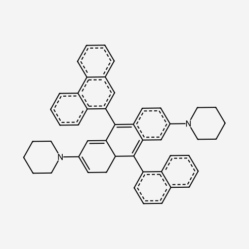 C1=C2C(c3cc4ccccc4c4ccccc34)=c3ccc(N4CCCCC4)cc3=C(c3cccc4ccccc34)C2CC=C1N1CCCCC1